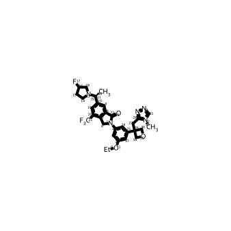 CCOc1cc(N2Cc3c(cc([C@H](C)N4CCC(F)C4)cc3C(F)(F)F)C2=O)cc(C2(Cc3nncn3C)COC2)c1